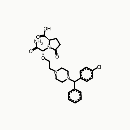 NC(=O)[C@@H](OCCN1CCN(C(c2ccccc2)c2ccc(Cl)cc2)CC1)N1C(=O)CC[C@@H]1C(=O)O